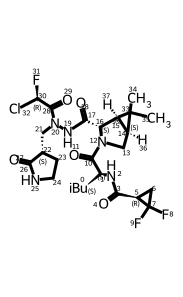 CC[C@H](C)[C@H](NC(=O)[C@H]1CC1(F)F)C(=O)N1C[C@H]2[C@@H]([C@H]1C(=O)NN(C[C@@H]1CCNC1=O)C(=O)[C@H](F)Cl)C2(C)C